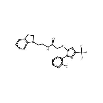 O=C(COc1cc(C(F)(F)F)nn1-c1ccccc1Cl)NCCN1CCc2ccccc21